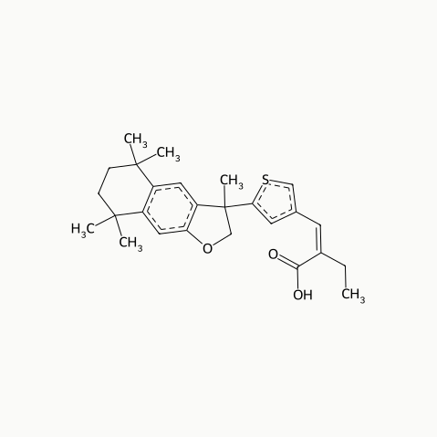 CCC(=Cc1csc(C2(C)COc3cc4c(cc32)C(C)(C)CCC4(C)C)c1)C(=O)O